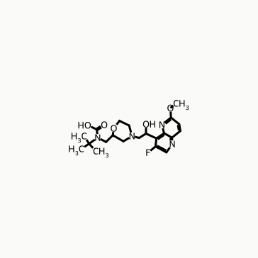 COc1ccc2ncc(F)c(C(O)CN3CCOC(CN(C(=O)O)C(C)(C)C)C3)c2n1